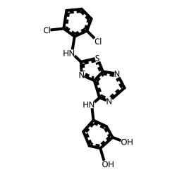 Oc1ccc(Nc2ncnc3sc(Nc4c(Cl)cccc4Cl)nc23)cc1O